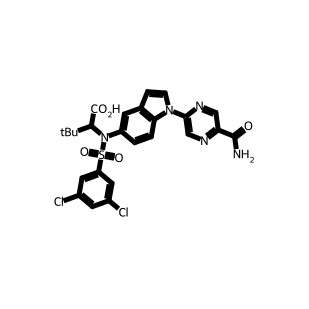 CC(C)(C)C(C(=O)O)N(c1ccc2c(ccn2-c2cnc(C(N)=O)cn2)c1)S(=O)(=O)c1cc(Cl)cc(Cl)c1